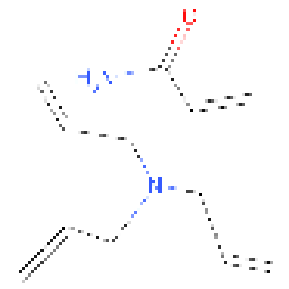 C=CC(N)=O.C=CCN(CC=C)CC=C